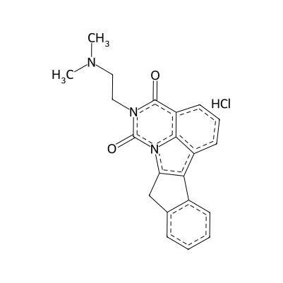 CN(C)CCn1c(=O)c2cccc3c4c(n(c1=O)c32)Cc1ccccc1-4.Cl